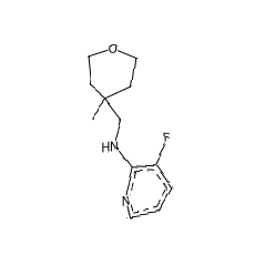 CC1(CNc2n[c]ccc2F)CCOCC1